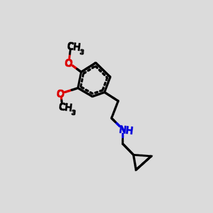 COc1ccc(CCNCC2CC2)cc1OC